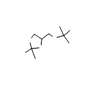 CC(C)(C)OCC1COC(C)(C)O1